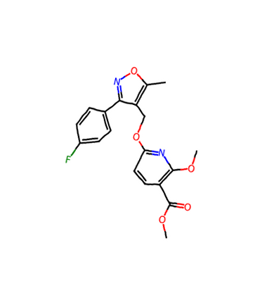 COC(=O)c1ccc(OCc2c(-c3ccc(F)cc3)noc2C)nc1OC